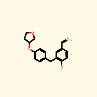 C=[C]c1ccc(Cl)c(Cc2ccc(OC3CCOC3)cc2)c1